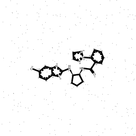 O=C(N[C@H]1CCC[C@H]1Nc1nc2cc(Cl)ccc2s1)c1ccccc1-n1nccn1